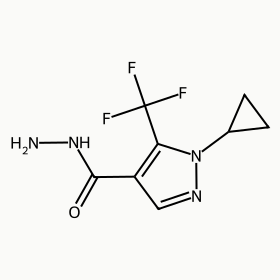 NNC(=O)c1cnn(C2CC2)c1C(F)(F)F